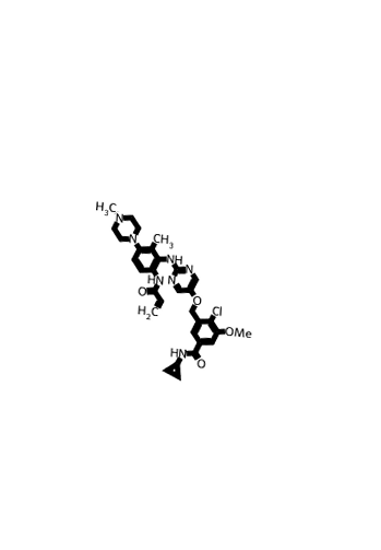 C=CC(=O)Nc1ccc(N2CCN(C)CC2)c(C)c1Nc1ncc(OCc2cc(C(=O)NC3CC3)cc(OC)c2Cl)cn1